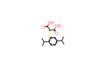 CC(C)c1ccc(C(C)C)c(SC(C(=O)O)C(=O)O)c1